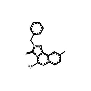 Nc1nc2ccc(F)cc2c2nn(Cc3ccccc3)c(=O)n12